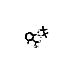 CC1(C)OB(c2cccc(F)c2C(=O)O)OC1(C)C